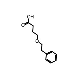 O=C(O)CCCOCCc1ccccc1